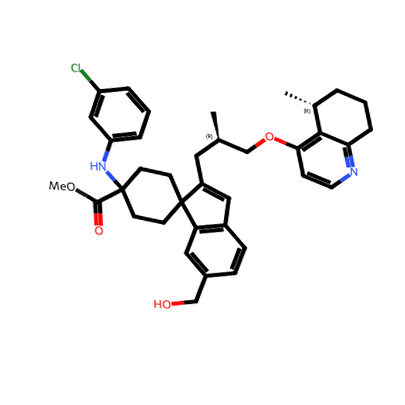 COC(=O)C1(Nc2cccc(Cl)c2)CCC2(CC1)C(C[C@@H](C)COc1ccnc3c1[C@H](C)CCC3)=Cc1ccc(CO)cc12